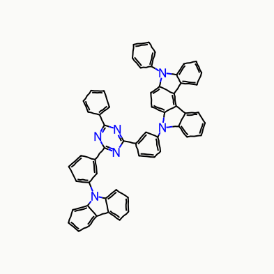 c1ccc(-c2nc(-c3cccc(-n4c5ccccc5c5ccccc54)c3)nc(-c3cccc(-n4c5ccccc5c5c6c7ccccc7n(-c7ccccc7)c6ccc54)c3)n2)cc1